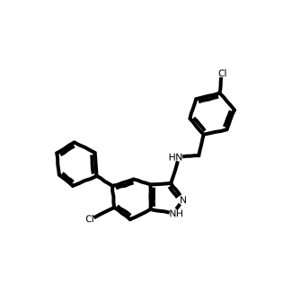 Clc1ccc(CNc2n[nH]c3cc(Cl)c(-c4ccccc4)cc23)cc1